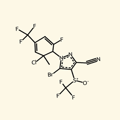 CC1(Cl)C=C(C(F)(F)F)C=C(F)C1n1nc(C#N)c([S+]([O-])C(F)(F)F)c1Br